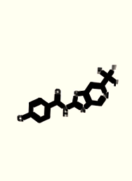 O=C(Nc1nc2cnc(C(F)(F)F)cc2s1)c1ccc(Cl)cc1